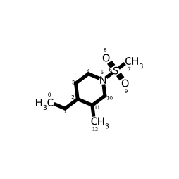 CCC1CCN(S(C)(=O)=O)CC1C